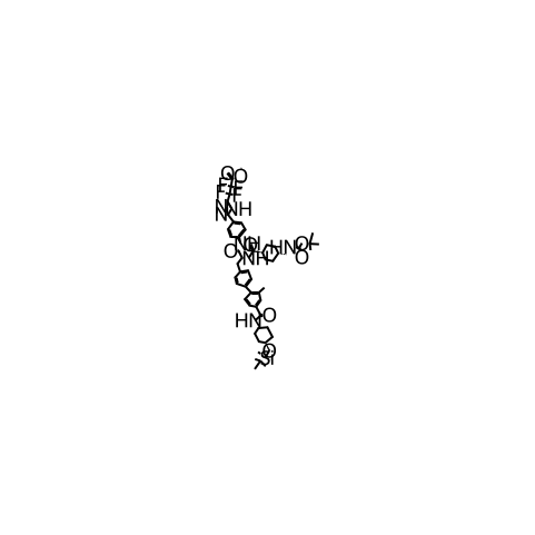 COC(=O)C(F)(F)C(F)(F)c1nnc(-c2ccc(NC(=O)C(Cc3ccc(-c4ccc(C(=O)N[C@H]5CC[C@H](O[Si](C)(C)C(C)(C)C)CC5)cc4C)cc3)NC(=O)[C@H]3CC[C@H](CNC(=O)OC(C)(C)C)CC3)cc2)[nH]1